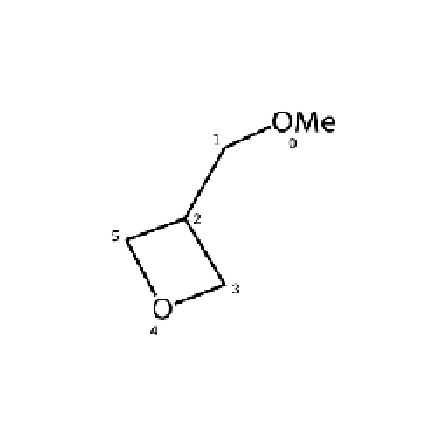 [CH2]OCC1COC1